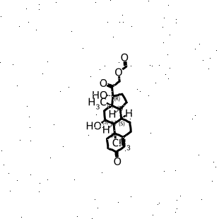 C[C@]12CCC(=O)C=C1CC[C@@H]1[C@@H]2[C@@H](O)C[C@@]2(C)[C@H]1CC[C@]2(O)C(=O)COC=O